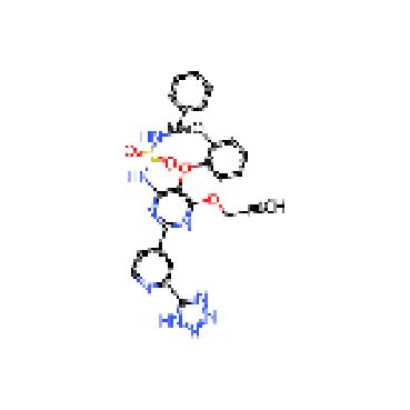 C#CCOc1nc(-c2ccnc(-c3nnn[nH]3)c2)nc(NS(=O)(=O)NCc2ccccc2)c1Oc1ccccc1OC